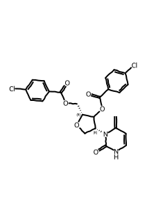 C=C1C=CNC(=O)N1[C@@H]1CO[C@H](COC(=O)c2ccc(Cl)cc2)C1OC(=O)c1ccc(Cl)cc1